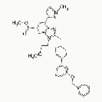 COCCn1c(CC2CC=C(c3cccc(OCc4ccccc4)n3)CC2)nc2c(-c3ccn(C)n3)cc(C(=O)OC)cc21